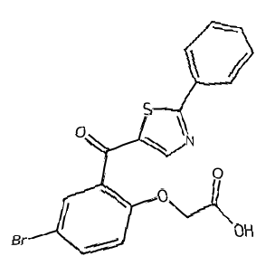 O=C(O)COc1ccc(Br)cc1C(=O)c1cnc(-c2ccccc2)s1